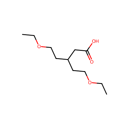 CCOCCC(CCOCC)CC(=O)O